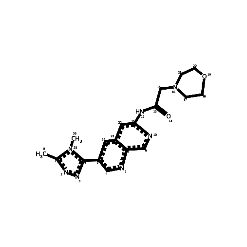 Cc1nnc(-c2cnc3cnc(NC(=O)CN4CCOCC4)cc3c2)n1C